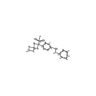 CS(=O)(=O)C1(c2ccc(OCc3ccccc3)cc2)CC2(COC2)C1